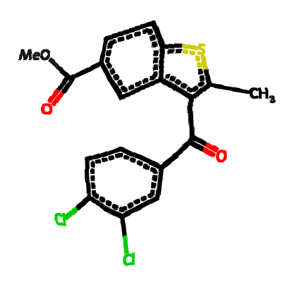 COC(=O)c1ccc2sc(C)c(C(=O)c3ccc(Cl)c(Cl)c3)c2c1